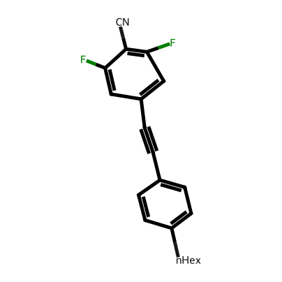 CCCCCCc1ccc(C#Cc2cc(F)c(C#N)c(F)c2)cc1